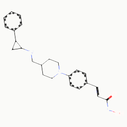 O=C(/C=C/c1ccc(N2CCC(CNC3CC3c3ccccc3)CC2)cc1)NO